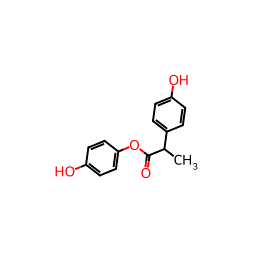 CC(C(=O)Oc1ccc(O)cc1)c1ccc(O)cc1